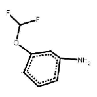 Nc1cc[c]c(OC(F)F)c1